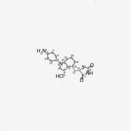 Cl.Nc1ccc(-n2ccc3c(CC4SC(=O)NC4=O)cccc32)cc1